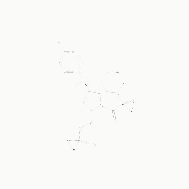 N#CC1(NC(=O)[C@@H]2C[C@@H](S(=O)(=O)c3ccc(Cl)cc3)CN2C(=O)C2(N3CCCCC3)CC2)CC1